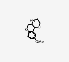 COc1ccc2c(c1)C1OCCNC1CO2